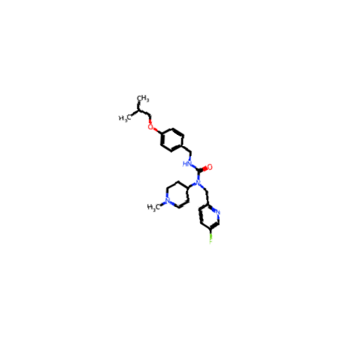 CC(C)COc1ccc(CNC(=O)N(Cc2ccc(F)cn2)C2CCN(C)CC2)cc1